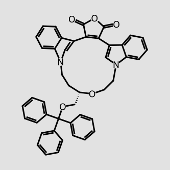 O=C1OC(=O)C2=C1c1cn(c3ccccc13)CCO[C@H](COC(c1ccccc1)(c1ccccc1)c1ccccc1)CCn1cc2c2ccccc21